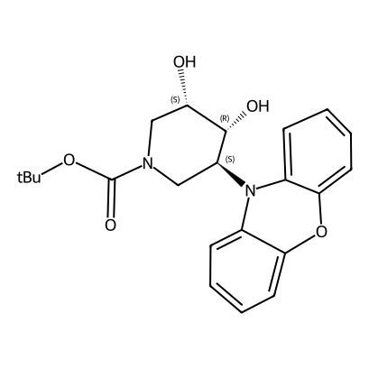 CC(C)(C)OC(=O)N1C[C@H](O)[C@H](O)[C@@H](N2c3ccccc3Oc3ccccc32)C1